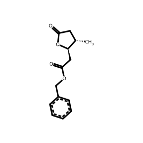 C[C@H]1CC(=O)O[C@@H]1CC(=O)OCc1ccccc1